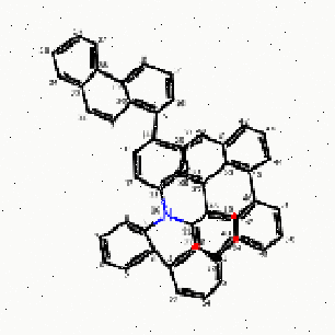 c1ccc(-c2ccccc2N(c2ccc(-c3cccc4c3ccc3ccccc34)cc2)c2ccccc2-c2cccc3cccc(-c4ccccc4)c23)cc1